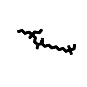 CCCCC(C)(CCC)CCN(C)C(=O)CCCCCCCC(C)(C)CC